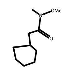 CON(C)C(=O)CC1CCCCC1